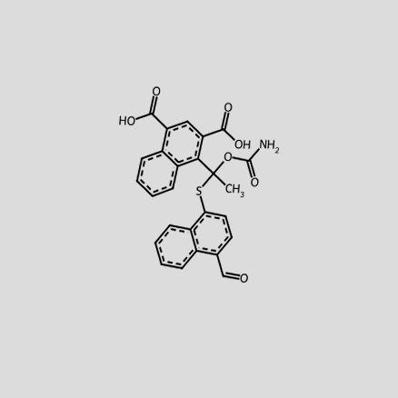 CC(OC(N)=O)(Sc1ccc(C=O)c2ccccc12)c1c(C(=O)O)cc(C(=O)O)c2ccccc12